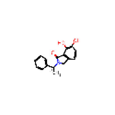 C[C@@H](c1ccccc1)N1Cc2ccc(O)c(O)c2C1=O